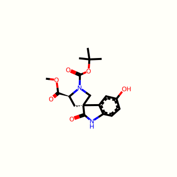 COC(=O)[C@@H]1C[C@@]2(CN1C(=O)OC(C)(C)C)C(=O)Nc1ccc(O)cc12